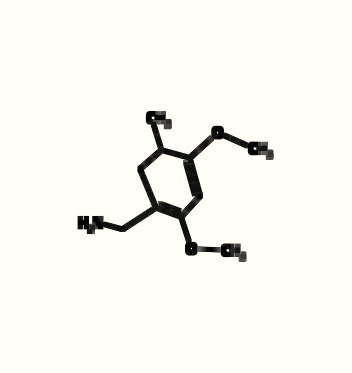 COC1=CC(OC)=C(CN)CC1C